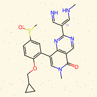 CN/C=C(\C=N)c1ncc2c(=O)n(C)cc(-c3cc([S+](C)[O-])ccc3OCC3CC3)c2n1